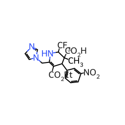 CCOC(=O)C1=C(Cn2ccnc2)NC(C(F)(F)F)C(C)(C(=O)O)C1c1cccc([N+](=O)[O-])c1